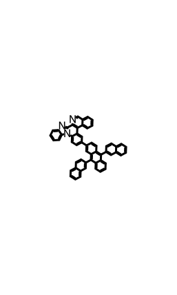 c1ccc2cc(-c3c4ccccc4c(-c4ccc5ccccc5c4)c4cc(-c5ccc6c(c5)c5c7ccccc7cnc5c5nc7ccccc7n65)ccc34)ccc2c1